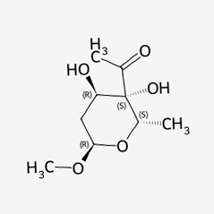 CO[C@H]1C[C@@H](O)[C@@](O)(C(C)=O)[C@H](C)O1